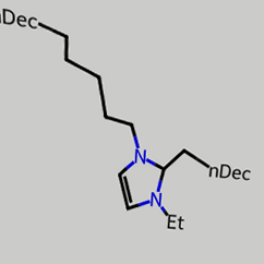 CCCCCCCCCCCCCCCN1C=CN(CC)C1CCCCCCCCCCC